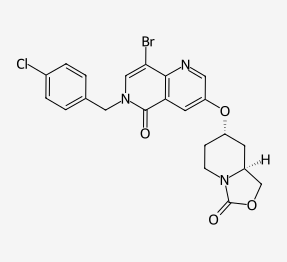 O=C1OC[C@@H]2C[C@@H](Oc3cnc4c(Br)cn(Cc5ccc(Cl)cc5)c(=O)c4c3)CCN12